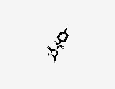 O=C1CN(S(=O)(=O)c2ccc(F)cc2)C(=O)N1